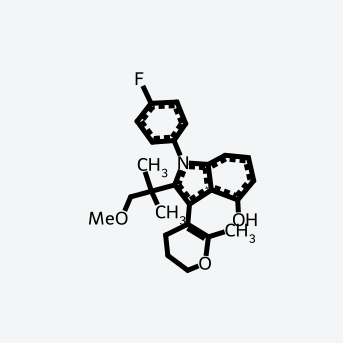 COCC(C)(C)c1c(C2=C(C)OCCC2)c2c(O)cccc2n1-c1ccc(F)cc1